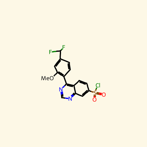 COc1cc(C(F)F)ccc1-c1ncnc2cc(S(=O)(=O)Cl)ccc12